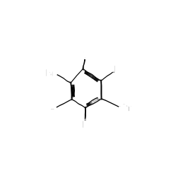 CC(C)c1c(F)c(F)c(Br)c(Cl)c1F